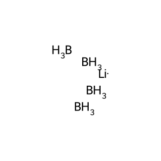 B.B.B.B.[Li]